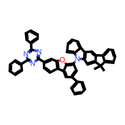 CC1(C)c2ccccc2-c2cc3c4ccccc4n(-c4cc(-c5ccccc5)cc5c4oc4cc(-c6nc(-c7ccccc7)nc(-c7ccccc7)n6)ccc45)c3cc21